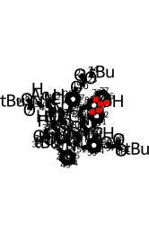 CC(=O)N(Cl)[C@@H](CNC(=O)OC(C)(C)C)C(=O)N[C@@H](Cc1ccc(OCC(=O)OC(C)(C)C)cc1)C(=O)N[C@@H](CC(=O)OC(C)(C)C)C(=O)N[C@@H](Cc1ccccc1)C(=O)N[C@@H](Cc1ccc(OCC(=O)OC(C)(C)C)c(C)c1)C(=O)N[C@@H](Cc1ccc(-c2ccccc2)cc1)C(=O)N[C@@H](Cc1ccc(O)cc1)C(=O)O